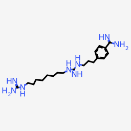 N=C(N)NCCCCCCCCNC(=N)NCCCc1ccc(C(=N)N)cc1